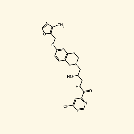 Cc1ncoc1COc1ccc2c(c1)CCN(CC(O)CNC(=O)c1cc(Cl)ncn1)C2